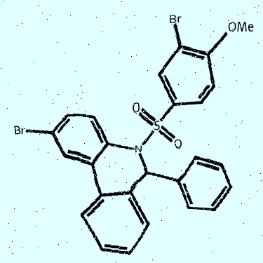 COc1ccc(S(=O)(=O)N2c3ccc(Br)cc3-c3ccccc3C2c2ccccc2)cc1Br